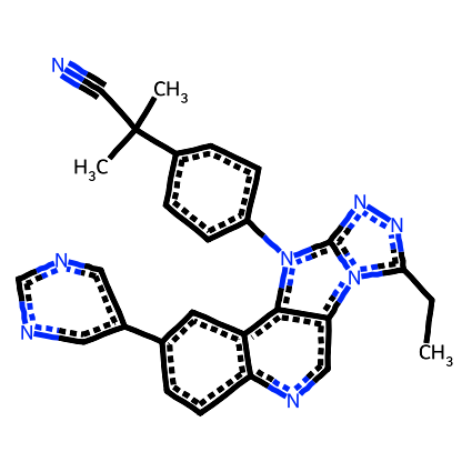 CCc1nnc2n(-c3ccc(C(C)(C)C#N)cc3)c3c4cc(-c5cncnc5)ccc4ncc3n12